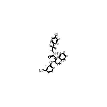 N#Cc1cccc(Oc2nnc3ccccc3c2C(=O)NCC(F)(F)c2ccc(Cl)cn2)c1